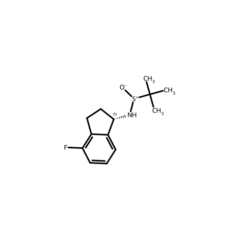 CC(C)(C)[S+]([O-])N[C@H]1CCc2c(F)cccc21